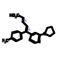 O=C(O)/C=C/C=C(\c1ccc(C(F)(F)F)cc1)c1ccnc(N2CCCC2)c1